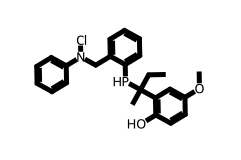 CCC(C)(Pc1ccccc1CN(Cl)c1ccccc1)c1cc(OC)ccc1O